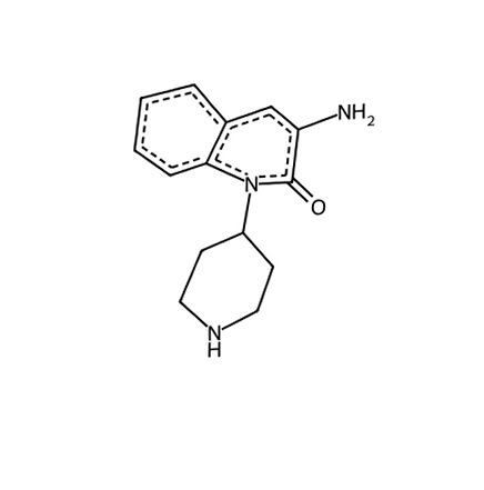 Nc1cc2ccccc2n(C2CCNCC2)c1=O